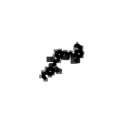 C/C=C\c1ccc(OCC)c(OCC(O)Cc2cccc(CC(O)COc3cc(/C=C\C)ccc3OCC)c2)c1